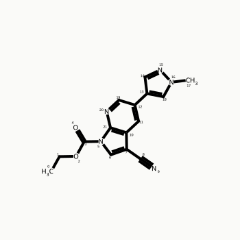 CCOC(=O)n1cc(C#N)c2cc(-c3cnn(C)c3)cnc21